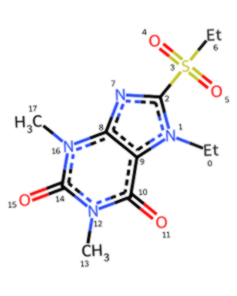 CCn1c(S(=O)(=O)CC)nc2c1c(=O)n(C)c(=O)n2C